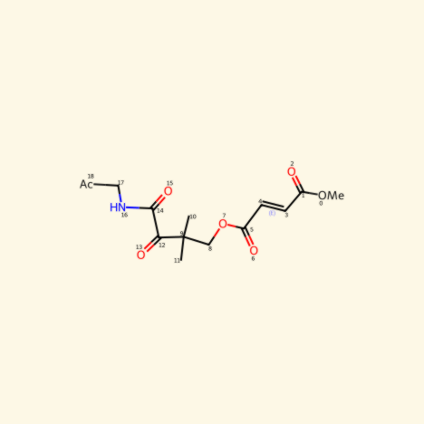 COC(=O)/C=C/C(=O)OCC(C)(C)C(=O)C(=O)NCC(C)=O